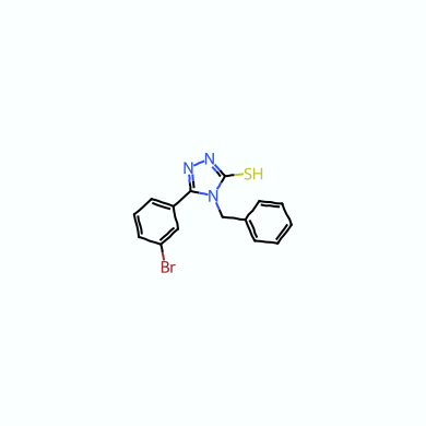 Sc1nnc(-c2cccc(Br)c2)n1Cc1ccccc1